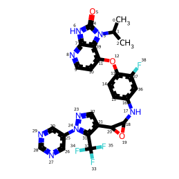 CC(C)n1c(=O)[nH]c2nccc(Oc3ccc(NC4OC4c4cnn(-c5cncnc5)c4C(F)(F)F)cc3F)c21